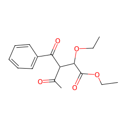 CCOC(=O)C(OCC)C(C(C)=O)C(=O)c1ccccc1